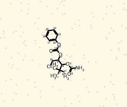 CC(C)(C)C(OC(N)=O)C(CCl)OC(=O)Oc1ccccc1